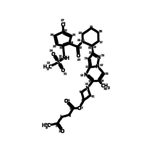 CC(=O)CCC(=O)OC1CN(c2nc3cc([C@@H]4CCCCN4C(=O)c4cc(Cl)ccc4NS(C)(=O)=O)nn3cc2C)C1